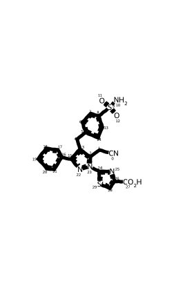 N#CCc1c(Cc2ccc(S(N)(=O)=O)cc2)c(-c2ccccc2)nn1-c1nc(C(=O)O)cs1